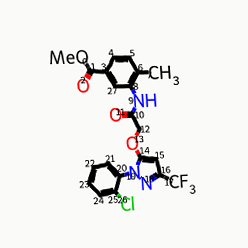 COC(=O)c1ccc(C)c(NC(=O)COc2cc(C(F)(F)F)nn2-c2ccccc2Cl)c1